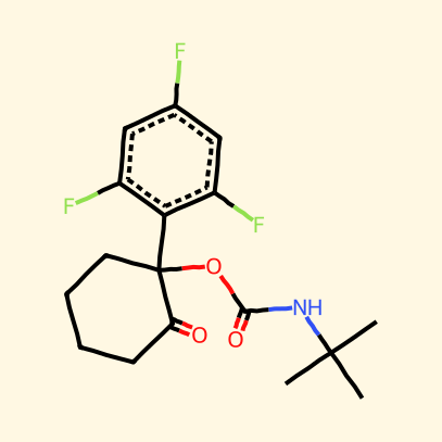 CC(C)(C)NC(=O)OC1(c2c(F)cc(F)cc2F)CCCCC1=O